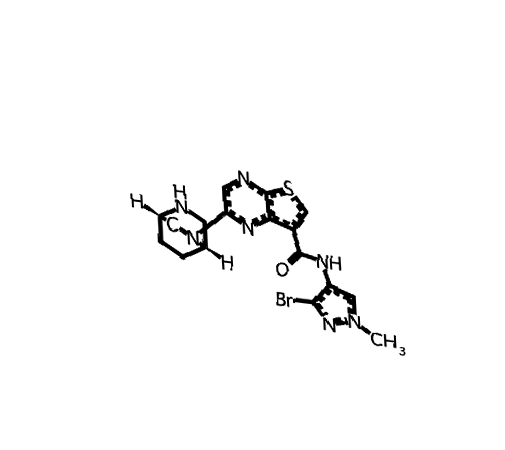 Cn1cc(NC(=O)c2csc3ncc(N4C[C@@H]5CC[C@H]4CN5)nc23)c(Br)n1